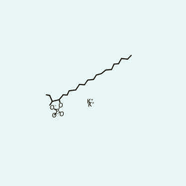 CCCCCCCCCCCCCCCCCC(OP(=O)([O-])[O-])C(C)CC.[K+].[K+]